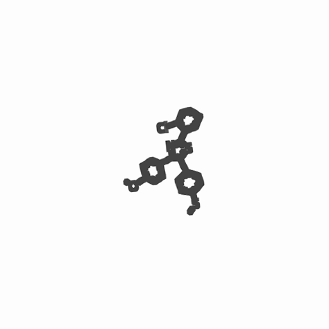 COc1ccc(-c2nc(-c3ccccc3Cl)sc2-c2ccc(SC)cc2)cc1